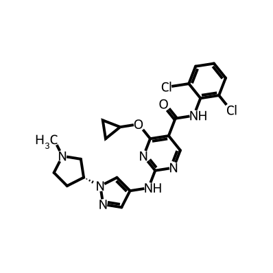 CN1CC[C@@H](n2cc(Nc3ncc(C(=O)Nc4c(Cl)cccc4Cl)c(OC4CC4)n3)cn2)C1